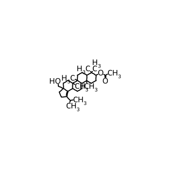 CC(=O)OC1CCC2(C)C(CCC3(C)C2CCC2C4=C(C(C)C)CCC4(CO)CCC23C)C1(C)C